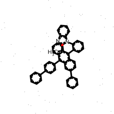 CCc1nc2ccccc2n1-c1ccccc1-c1c2ccccc2c(-c2ccc(-c3ccccc3)cc2)c2cc(-c3ccccc3)ccc12